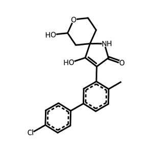 Cc1ccc(-c2ccc(Cl)cc2)cc1C1=C(O)C2(CCOC(O)C2)NC1=O